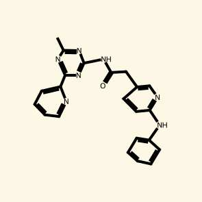 Cc1nc(NC(=O)Cc2ccc(Nc3ccccc3)nc2)nc(-c2ccccn2)n1